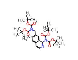 Cc1cc2ccnc(N(C(=O)OC(C)(C)C)C(=O)OC(C)(C)C)c2cc1CN(C(=O)OC(C)(C)C)C(=O)OC(C)(C)C